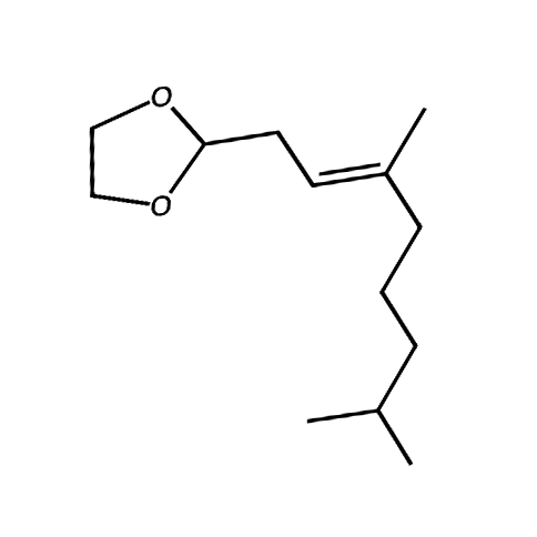 C/C(=C\CC1OCCO1)CCCC(C)C